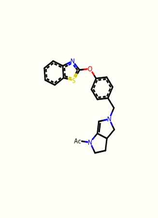 CC(=O)N1CCC2CN(Cc3ccc(Oc4nc5ccccc5s4)cc3)C=C21